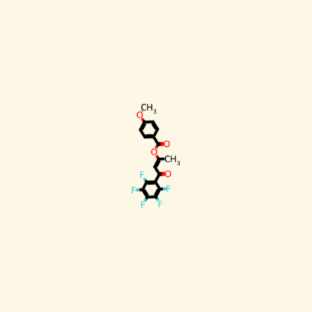 COc1ccc(C(=O)O/C(C)=C/C(=O)c2c(F)c(F)c(F)c(F)c2F)cc1